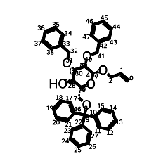 C=CCO[C@H]1O[C@H](COC(c2ccccc2)(c2ccccc2)c2ccccc2)[C@@H](O)[C@H](OCc2ccccc2)[C@H]1OCc1ccccc1